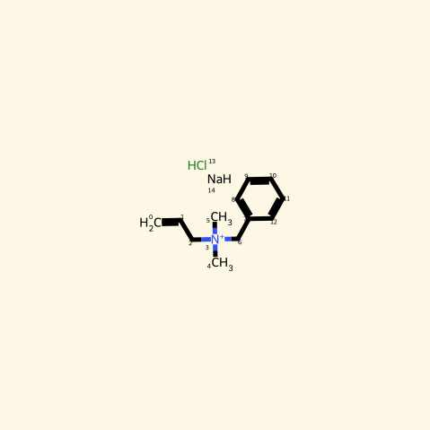 C=CC[N+](C)(C)Cc1ccccc1.Cl.[NaH]